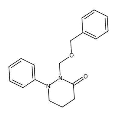 O=C1CCCN(c2ccccc2)N1COCc1ccccc1